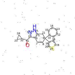 O=C(c1n[nH]c2c1C=CC(c1ccccc1)(c1ccsc1)C2)C1CC1